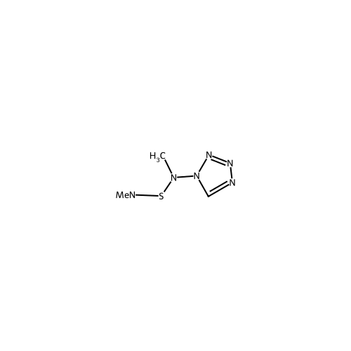 CNSN(C)n1cnnn1